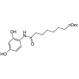 CCCCCCCCCCCCCCCCC(=O)Nc1ccc(O)cc1O